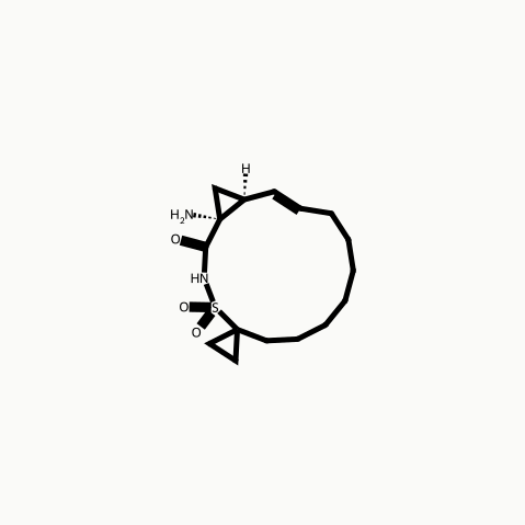 N[C@]12C[C@H]1/C=C/CCCCCCCC1(CC1)S(=O)(=O)NC2=O